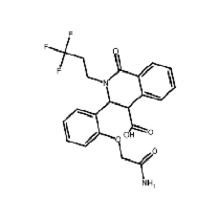 NC(=O)COc1ccccc1C1C(C(=O)O)c2ccccc2C(=O)N1CCC(F)(F)F